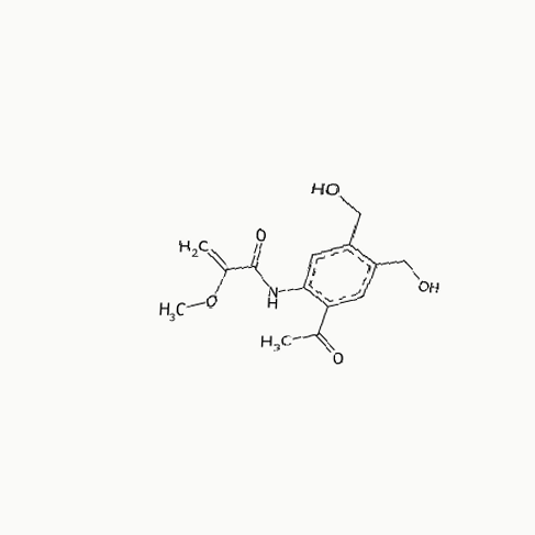 C=C(OC)C(=O)Nc1cc(CO)c(CO)cc1C(C)=O